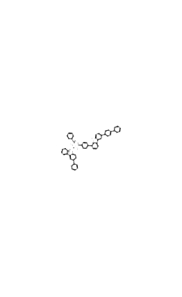 c1ccc(-c2ccc(-c3ccc4sc5c(-c6ccc(-c7nc(-c8ccccc8)nc(-n8c9ccccc9c9cc(-c%10ccccc%10)ccc98)n7)cc6)cccc5c4c3)cc2)cc1